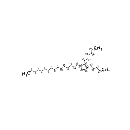 CCCCCCCCCCCCCCCCN1C=CN(CCCCC)C1CCCCCC